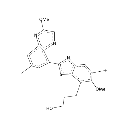 COc1cnc2c(-c3nc4cc(F)c(OC)c(CCCO)c4s3)cc(C)cc2n1